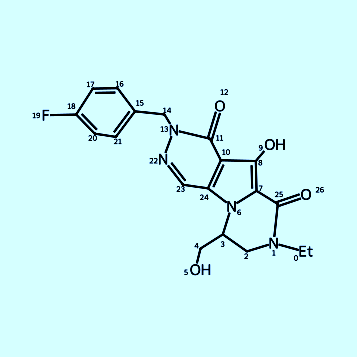 CCN1CC(CO)n2c(c(O)c3c(=O)n(Cc4ccc(F)cc4)ncc32)C1=O